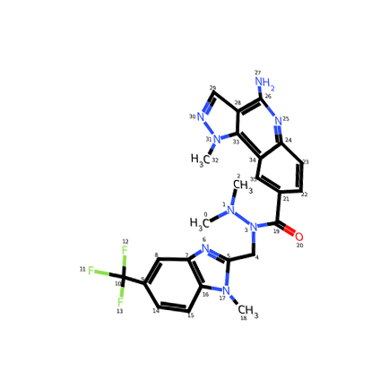 CN(C)N(Cc1nc2cc(C(F)(F)F)ccc2n1C)C(=O)c1ccc2nc(N)c3cnn(C)c3c2c1